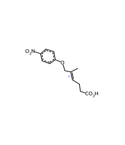 C/C(=C\CCC(=O)O)COc1ccc([N+](=O)[O-])cc1